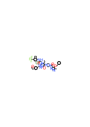 CCc1c(N2CCN(C(=O)c3ncnc(C)c3OCc3ccccc3)CC2)c(=O)n2nc(-c3ccc4c(c3)OCC4)nc2n1CC(=O)Nc1c(Cl)cc(C(F)(F)F)c2c1CC2